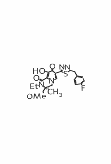 CCN1C(=O)c2c(O)c(=O)c(-c3nnc(Cc4ccc(F)cc4)s3)cn2C[C@@]1(C)COC